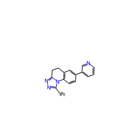 CC(C)c1nnc2n1-c1ccc(-c3cccnc3)cc1CC2